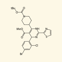 COC(=O)C1=C(C2CCN(C(=O)OC(C)(C)C)CC2)NC(c2nccs2)=NC1c1ccc(Br)cc1Cl